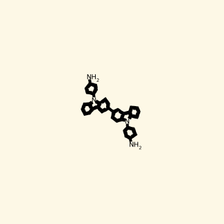 Nc1ccc(-n2c3ccccc3c3cc(-c4ccc5c(c4)c4ccccc4n5-c4ccc(N)cc4)ccc32)cc1